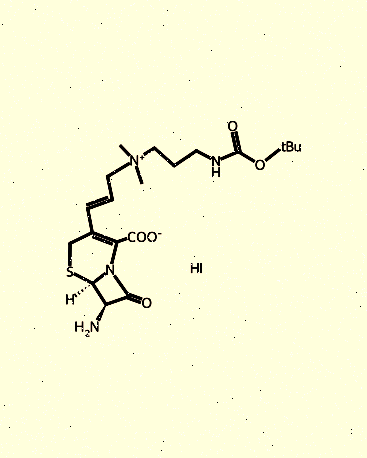 CC(C)(C)OC(=O)NCCC[N+](C)(C)CC=CC1=C(C(=O)[O-])N2C(=O)[C@@H](N)[C@H]2SC1.I